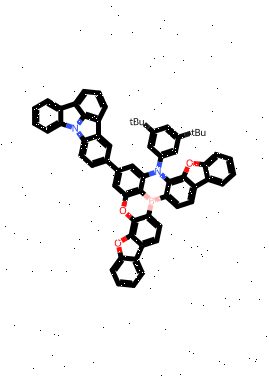 CC(C)(C)c1cc(N2c3cc(-c4ccc5c(c4)c4cccc6c7ccccc7n5c64)cc4c3B(c3ccc5c(oc6ccccc65)c3O4)c3ccc4c(oc5ccccc54)c32)cc(C(C)(C)C)c1